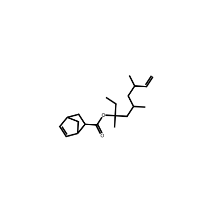 C=CC(C)CC(C)CC(C)(CC)OC(=O)C1CC2C=CC1C2